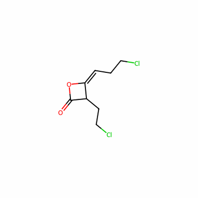 O=C1OC(=CCCCl)C1CCCl